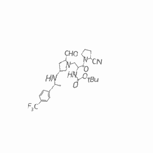 CC(NC1CC(C=O)N(CC(NC(=O)OC(C)(C)C)C(=O)N2CCCC2C#N)C1)c1ccc(C(F)(F)F)cc1